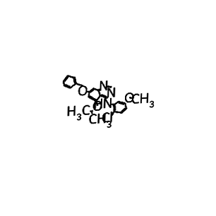 COc1ccc(Cl)c(Nc2ncnc3cc(OCc4ccccc4)cc(OC(C)C)c23)c1